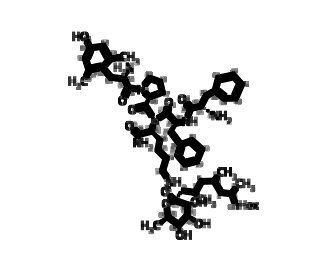 CCCCCCC(C)CC(C)CC(C)C[C@@]1(ONCCCC[C@@H](C(N)=O)N(C(=O)[C@H](Cc2ccccc2)NC(=O)[C@@H](N)Cc2ccccc2)C(=O)[C@@H]2CCCN2C(=O)[C@@H](N)Cc2c(C)cc(O)cc2C)O[C@H](C)[C@@H](O)[C@H](O)[C@H]1O